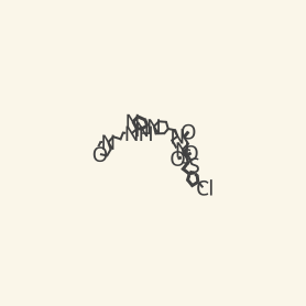 O=C1CN(S(=O)(=O)c2cc3ccc(Cl)cc3s2)CCN1CC1CCN(c2ccnc(NCCCN3CCOCC3)n2)CC1